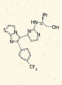 CC(C)[C@@H](CO)Nc1nccc(-c2c(-c3ccc(C(F)(F)F)cc3)nc3sccn23)n1